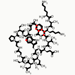 CC(C)C[C@H](NC(=O)[C@H](CC(C)C)NC(=O)[C@H](Cc1c[nH]c2ccccc12)NC(=O)[C@H](CCC(=O)O)NC(=O)[C@@H](NC(=O)[C@H](Cc1ccccc1)NC(=O)[C@H](CCC(=O)O)NC(=O)[C@H](CCCCN)NC(=O)[C@H](C)NC(=O)[C@@H](N)CCCCN)C(C)C)C(=O)N[C@@H](CO)C(=O)NCC(=O)NCC(=O)N1CCC[C@H]1C(=O)N[C@@H](CO)C(=O)N[C@@H](CO)C(=O)NCC(=O)O